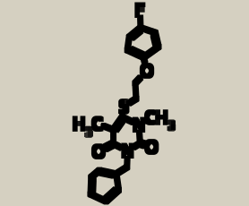 Cc1c(SCCOc2ccc(F)cc2)n(C)c(=O)n(Cc2ccccc2)c1=O